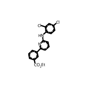 CCOC(=O)c1cccc(-c2cccc(Nc3ccc(Cl)cc3Cl)n2)c1